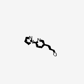 O=CC=Cc1ccc(-n2cccn2)nc1